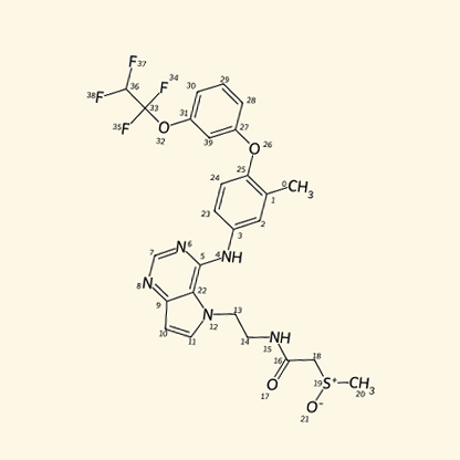 Cc1cc(Nc2ncnc3ccn(CCNC(=O)C[S+](C)[O-])c23)ccc1Oc1cccc(OC(F)(F)C(F)F)c1